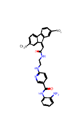 Nc1ccccc1NC(=O)c1ccc(NCCNC(=O)C=C2c3cc([N+](=O)[O-])ccc3-c3ccc([N+](=O)[O-])cc32)nc1